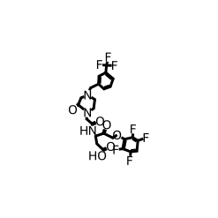 O=C(O)CC(NC(=O)CN1CCN(Cc2cccc(C(F)(F)F)c2)CC1=O)C(=O)COc1c(F)c(F)cc(F)c1F